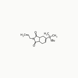 C=CCN1C(=O)C2CC=C([Si](C)(C)C(C)(C)C)CC2C1=O